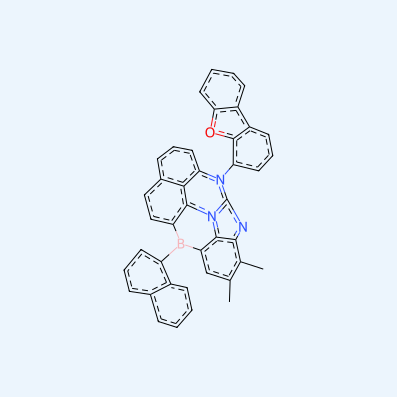 Cc1cc2c3c(nc4n(-c5cccc6c5oc5ccccc56)c5cccc6ccc(c(c65)n34)B2c2cccc3ccccc23)c1C